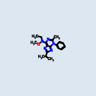 CCN(OC)c1nc(C)n(-c2ccccc2)c2nc(C(C)C)nc1-2